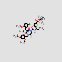 CC[C@@H](NC(=O)N1CC(=S)N(Cc2c(OC)cc(OC)cc2OC)C[C@@H](Cc2cc(Cl)ccc2OC)C1=O)c1ccc(C(=O)OC(C)(C)C)s1